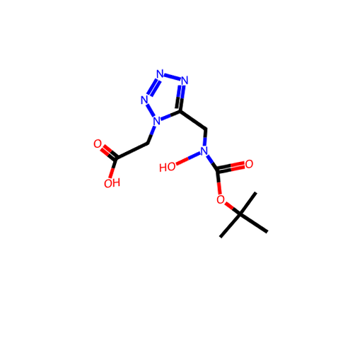 CC(C)(C)OC(=O)N(O)Cc1nnnn1CC(=O)O